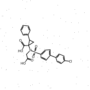 O=C(O)CN(C1(C(=O)O)CC1c1ccccc1)S(=O)(=O)c1ccc(-c2ccc(Cl)cc2)cc1